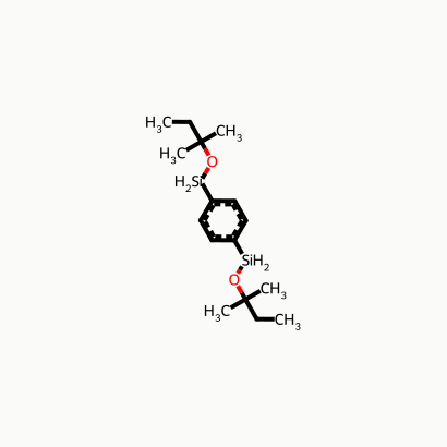 CCC(C)(C)O[SiH2]c1ccc([SiH2]OC(C)(C)CC)cc1